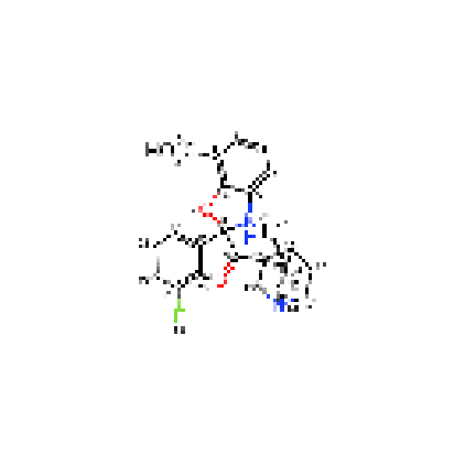 O=C(O)c1cccc2c1OC(C(=O)[C@H]1CN3CCC1CC3)(c1cccc(F)c1)N2